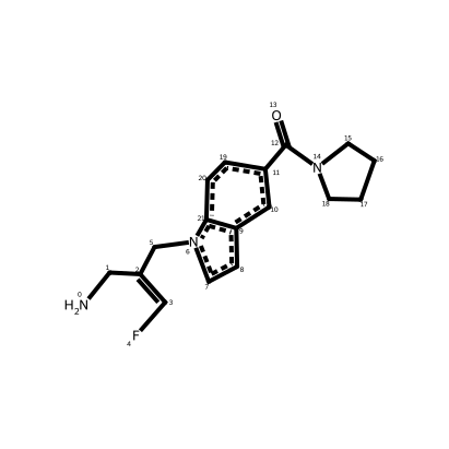 NCC(=CF)Cn1ccc2cc(C(=O)N3CCCC3)ccc21